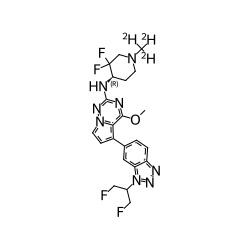 [2H]C([2H])([2H])N1CC[C@@H](Nc2nc(OC)c3c(-c4ccc5nnn(C(CF)CF)c5c4)ccn3n2)C(F)(F)C1